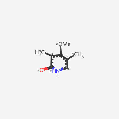 COc1c(C)[c][nH]c(=O)c1C